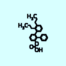 CCCc1cccc(-c2cccc(OC(=O)O)c2-c2ccccc2)c1CCC